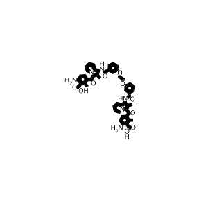 Cc1c(C(=O)c2c(C)c(NC(=O)c3cccc(OCCOc4cccc(C(=O)Nc5c(C)c(C(=O)c6ccc(N)c(C(=O)O)c6C)n6ccccc56)c4)c3)c3ccccn23)ccc(N)c1C(=O)O